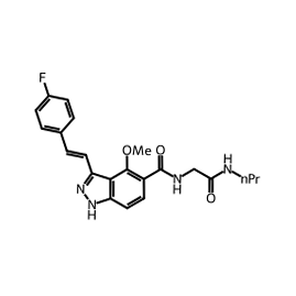 CCCNC(=O)CNC(=O)c1ccc2[nH]nc(C=Cc3ccc(F)cc3)c2c1OC